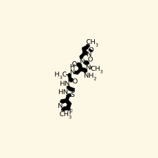 Cc1cc(Cn2c(=O)c(CN[C@@H](C)C(=O)NC3=CSC(c4cnc(C)c(F)c4)N3)c(N)n(C)c2=O)no1